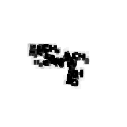 Cc1nc(N2C[C@@H]3[C@H](CO)[C@@H]3C2)ccc1Cn1cc(C(=O)N[C@@H]2CCc3c2nn(COCC[Si](C)(C)C)c3C)cn1